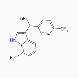 CCCC(c1ccc(C(F)(F)F)cc1)c1c[nH]c2c(C(F)(F)F)cccc12